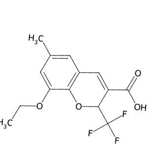 CCOc1cc(C)cc2c1OC(C(F)(F)F)C(C(=O)O)=C2